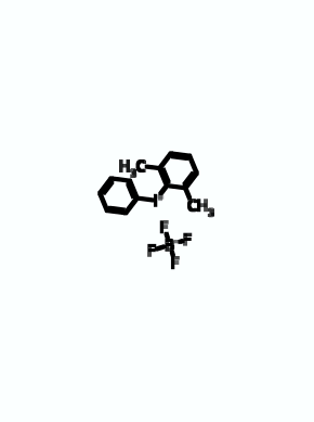 Cc1cccc(C)c1[I+]c1ccccc1.F[B-](F)(F)F